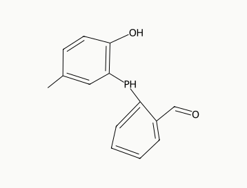 Cc1ccc(O)c(Pc2ccccc2C=O)c1